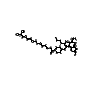 CCCCc1nc2c(N)nc3cc(C)sc3c2n1CC1CCN(C(=O)COCCOCCOCCOCC(O)O)CC1